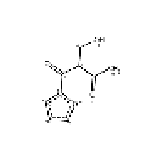 CC(=O)C(CO)C(=O)c1ccco1